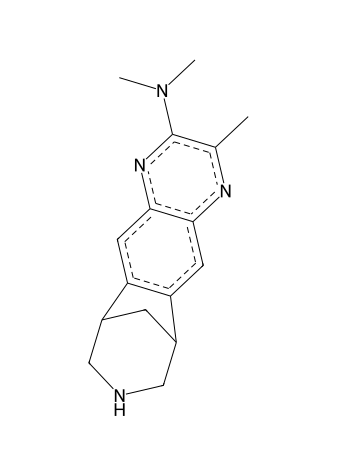 Cc1nc2cc3c(cc2nc1N(C)C)C1CNCC3C1